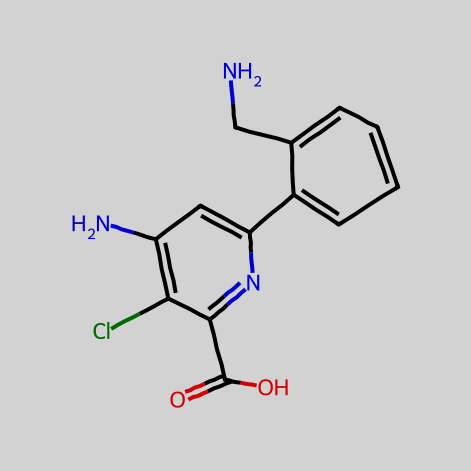 NCc1ccccc1-c1cc(N)c(Cl)c(C(=O)O)n1